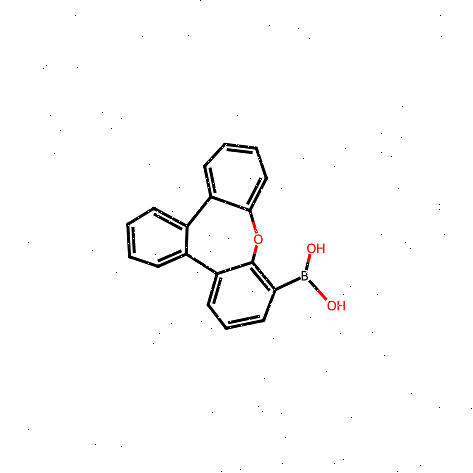 OB(O)c1cccc2c1Oc1ccccc1-c1ccccc1-2